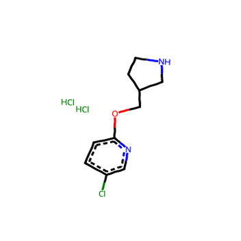 Cl.Cl.Clc1ccc(OCC2CCNC2)nc1